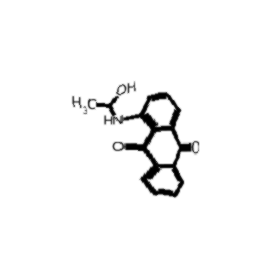 CC(O)Nc1cccc2c1C(=O)c1ccccc1C2=O